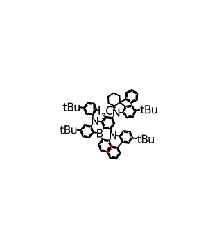 CC(C)(C)c1cccc(N2c3cc(C(C)(C)C)ccc3B3c4ccccc4N(c4ccc(C(C)(C)C)cc4-c4ccccc4)c4cc(N5c6ccc(C(C)(C)C)cc6C6(c7ccccc7)CCCCC56C)cc2c43)c1